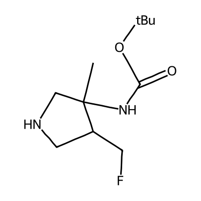 CC(C)(C)OC(=O)NC1(C)CNCC1CF